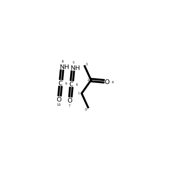 CCC(C)=O.N=C=O.N=C=O